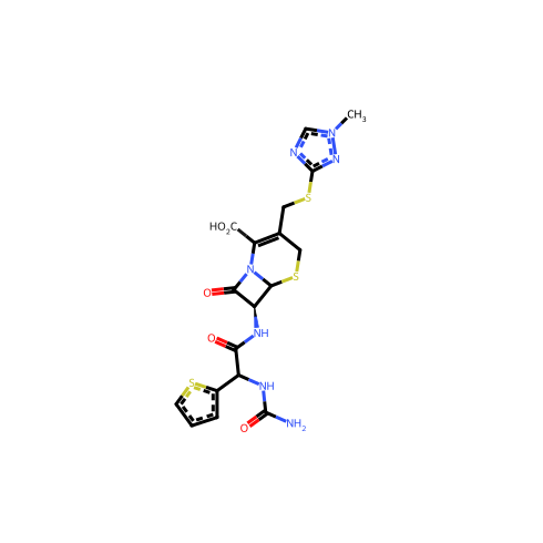 Cn1cnc(SCC2=C(C(=O)O)N3C(=O)[C@H](NC(=O)C(NC(N)=O)c4cccs4)C3SC2)n1